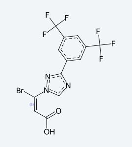 O=C(O)/C=C(/Br)n1cnc(-c2cc(C(F)(F)F)cc(C(F)(F)F)c2)n1